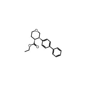 CCOC(=O)[C@H]1CCOC[C@H]1c1ccc(-c2ccccc2)cc1